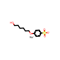 O=S(=O)([O-])c1ccc(OCCCCCCO)cc1.[Na+]